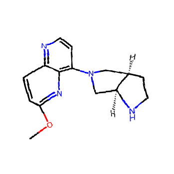 COc1ccc2nccc(N3C[C@H]4CCN[C@H]4C3)c2n1